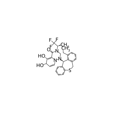 CCc1cccc2c1[C@H](N1CN([C@H](C)C(F)(F)F)C(=O)C3=C(O)C(O)C=CN31)c1ccccc1SC2